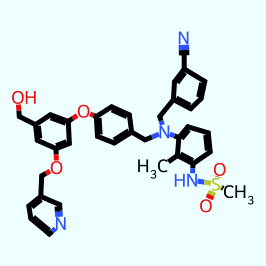 Cc1c(NS(C)(=O)=O)cccc1N(Cc1ccc(Oc2cc(CO)cc(OCc3cccnc3)c2)cc1)Cc1cccc(C#N)c1